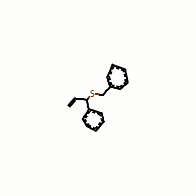 C=CC(SCc1ccccc1)c1ccccc1